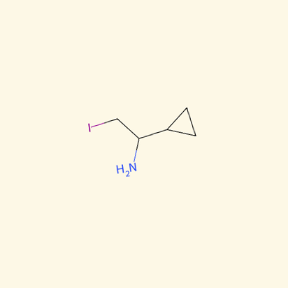 NC(CI)C1CC1